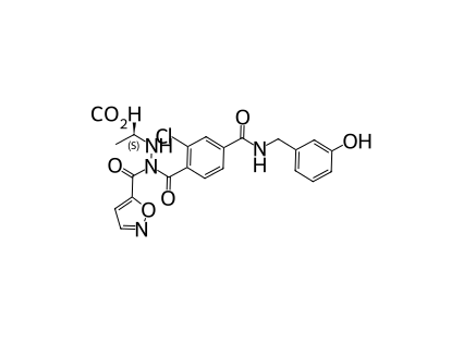 C[C@H](NN(C(=O)c1ccno1)C(=O)c1ccc(C(=O)NCc2cccc(O)c2)cc1Cl)C(=O)O